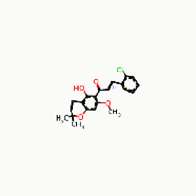 COc1cc2c(c(O)c1C(=O)/C=C/c1ccccc1Cl)C=CC(C)(C)O2